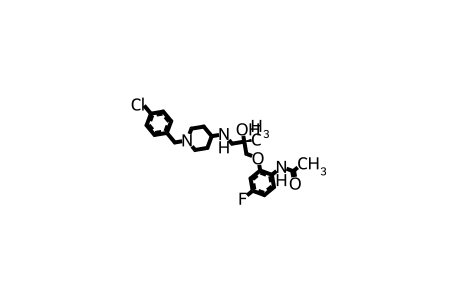 CC(=O)Nc1ccc(F)cc1OC[C@@](C)(O)CNC1CCN(Cc2ccc(Cl)cc2)CC1